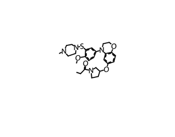 CCC(=O)N1CCC(Oc2ccc3c(c2)N(c2ccc(OC)c(SN4CCN(C)CC4)c2)CCO3)C1